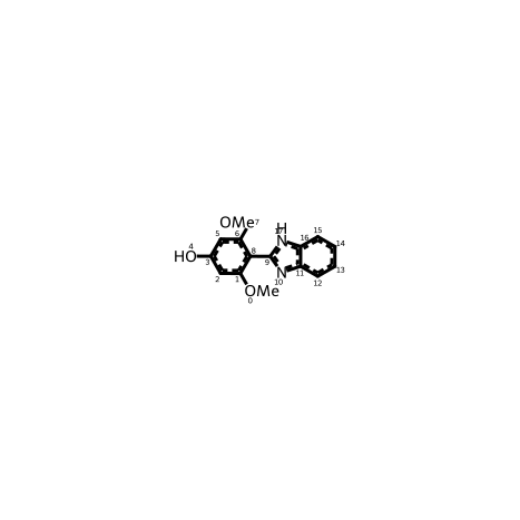 COc1cc(O)cc(OC)c1-c1nc2ccccc2[nH]1